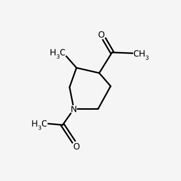 CC(=O)C1CCN(C(C)=O)CC1C